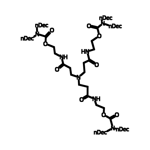 CCCCCCCCCCN(CCCCCCCCCC)C(=O)OCCNC(=O)CCN(CCC(=O)NCCOC(=O)N(CCCCCCCCCC)CCCCCCCCCC)CCC(=O)NCCOC(=O)N(CCCCCCCCCC)CCCCCCCCCC